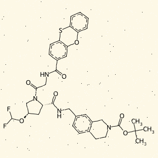 CC(C)(C)OC(=O)N1CCc2ccc(CNC(=O)[C@@H]3C[C@@H](OC(F)F)CN3C(=O)CNC(=O)c3ccc4c(c3)Oc3ccccc3S4)cc2C1